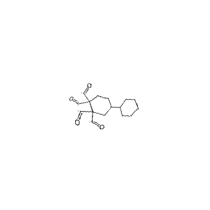 O=[C]C1([C]=O)CCC(C2CCCCC2)CC1([C]=O)[C]=O